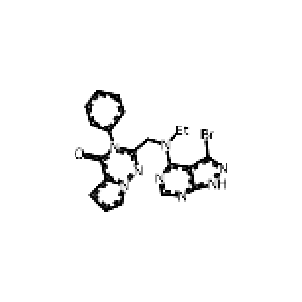 CCN(Cc1nn2cccc2c(=O)n1-c1ccccc1)c1ncnc2[nH]nc(Br)c12